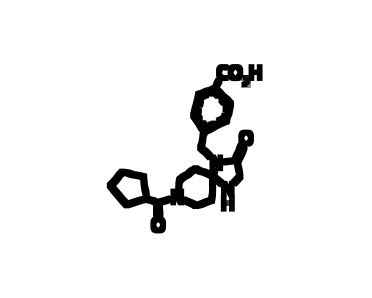 O=C(O)c1ccc(CN2C(=O)CNC23CCN(C(=O)C2CCCC2)CC3)cc1